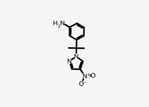 CC(C)(c1cccc(N)c1)n1cc([N+](=O)[O-])cn1